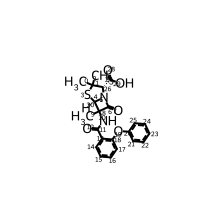 CC1(C)S[C@H]2N(C(=O)C2(C)NC(=O)c2ccccc2Oc2ccccc2)[C@H]1C(=O)O